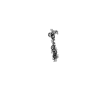 CCCC(CC(C)(C)CC)C(=O)OCCCCCCOc1ccc(/N=C/c2ccc(C)s2)cc1